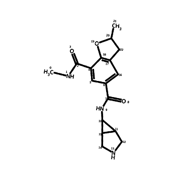 CNC(=O)c1cc(C(=O)NC2C3CNCC32)cc2c1OC(C)C2